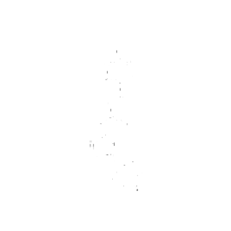 O=C(CCc1ccc(Cl)cc1)Nc1nc(-c2ccncc2)c[nH]1